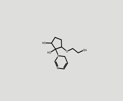 OCCOC1CCC(O)C1(O)N1C=NC=CC1